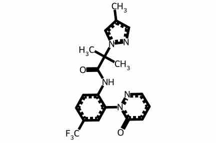 Cc1cnn(C(C)(C)C(=O)Nc2ccc(C(F)(F)F)cc2-n2ncccc2=O)c1